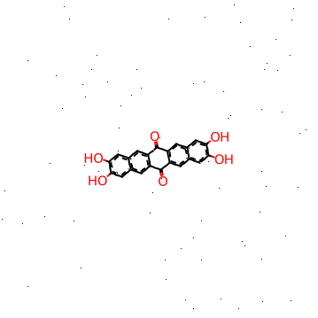 O=C1c2cc3cc(O)c(O)cc3cc2C(=O)c2cc3cc(O)c(O)cc3cc21